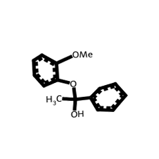 COc1ccccc1OC(C)(O)c1ccccc1